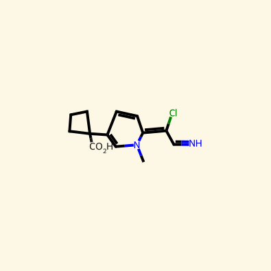 CN1C=C(C2(C(=O)O)CCC2)C=C/C1=C(\Cl)C=N